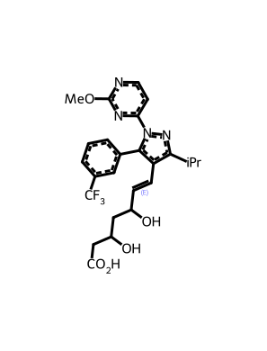 COc1nccc(-n2nc(C(C)C)c(/C=C/C(O)CC(O)CC(=O)O)c2-c2cccc(C(F)(F)F)c2)n1